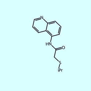 CC(C)SCC(=O)Nc1cccc2ncccc12